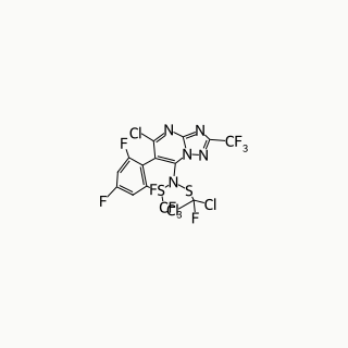 Fc1cc(F)c(-c2c(Cl)nc3nc(C(F)(F)F)nn3c2N(SC(F)(F)F)SC(F)(Cl)Cl)c(F)c1